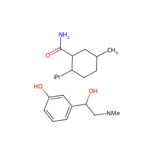 CC1CCC(C(C)C)C(C(N)=O)C1.CNCC(O)c1cccc(O)c1